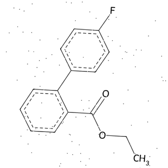 CCOC(=O)c1ccccc1-c1ccc(F)cc1